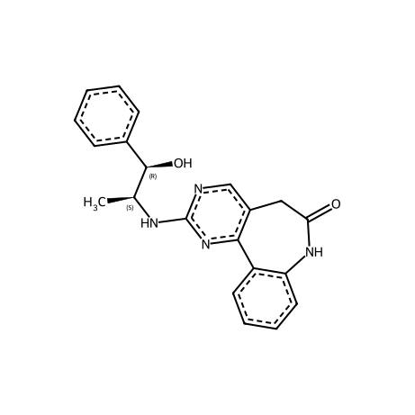 C[C@H](Nc1ncc2c(n1)-c1ccccc1NC(=O)C2)[C@H](O)c1ccccc1